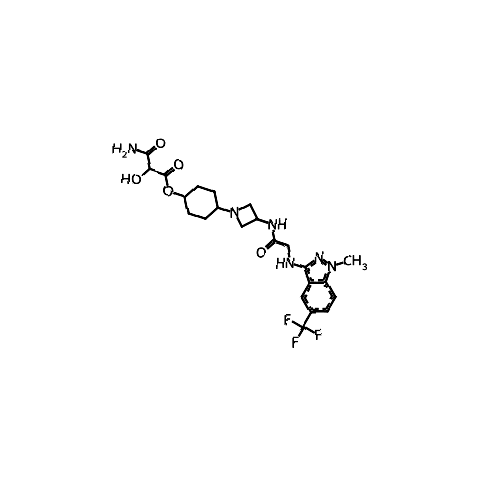 Cn1nc(NCC(=O)NC2CN(C3CCC(OC(=O)C(O)C(N)=O)CC3)C2)c2cc(C(F)(F)F)ccc21